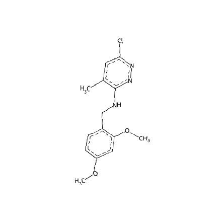 COc1ccc(CNc2nnc(Cl)cc2C)c(OC)c1